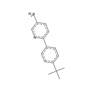 Bc1ccc(-c2ccc(C(C)(C)C)cc2)nc1